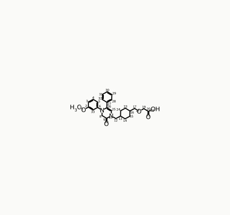 COc1cccc(N2CC(=O)N(CC3CCC(COCC(=O)O)CC3)C=C2c2ccccc2)c1